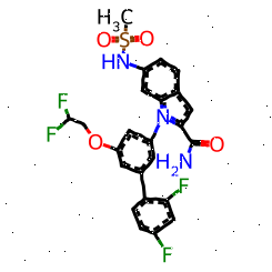 CS(=O)(=O)Nc1ccc2cc(C(N)=O)n(-c3cc(OCC(F)F)cc(-c4ccc(F)cc4F)c3)c2c1